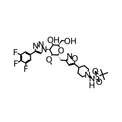 CO[C@@H]1[C@@H](n2cc(-c3cc(F)c(F)c(F)c3)nn2)[C@@H](O)[C@@H](CO)O[C@@H]1Cc1cc(C2CCN(NS(=O)(=O)C(C)(C)C)CC2)on1